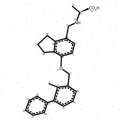 Cc1c(COc2ccc(CN[C@@H](C)C(=O)O)c3c2CCC3)cccc1-c1ccccc1